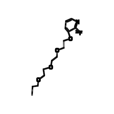 CCCOCCOCCOCCOc1cccnc1[18F]